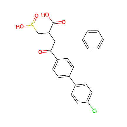 O=C(CC(CS(=O)O)C(=O)O)c1ccc(-c2ccc(Cl)cc2)cc1.c1ccccc1